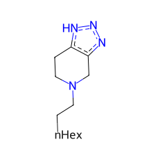 CCCCCCCCN1CCc2[nH]nnc2C1